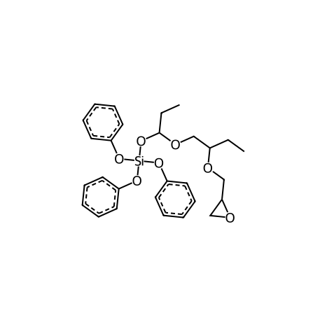 CCC(COC(CC)O[Si](Oc1ccccc1)(Oc1ccccc1)Oc1ccccc1)OCC1CO1